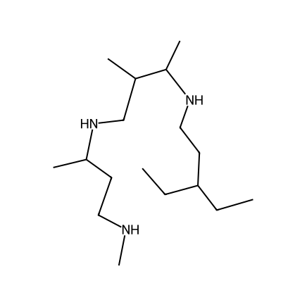 CCC(CC)CCNC(C)C(C)CNC(C)CCNC